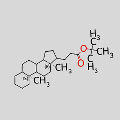 CC(C)(C)OC(=O)CCC1CCC2C3CCC4CCCC[C@]4(C)C3CC[C@]12C